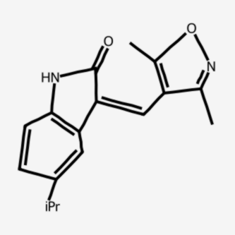 Cc1noc(C)c1/C=C1\C(=O)Nc2ccc(C(C)C)cc21